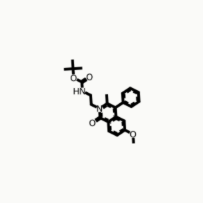 COc1ccc2c(=O)n(CCNC(=O)OC(C)(C)C)c(C)c(-c3ccccc3)c2c1